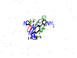 CN1CCC(F)(F)[C@@](C)(COc2nc(N3C[C@H]4CC[C@@H](C3)N4)c3cc(F)c(-c4c(F)c(N)cc(Cl)c4C(F)(F)F)c(F)c3n2)C1